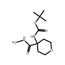 CC(C)(C)OC(=O)NC1(C(=O)NN)CCOCC1